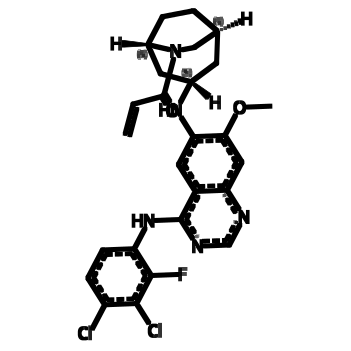 C=CC(=O)N1C[C@H]2CC[C@H]1C[C@@H](Nc1cc3c(Nc4ccc(Cl)c(Cl)c4F)ncnc3cc1OC)C2